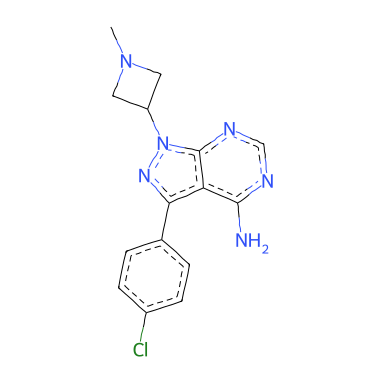 CN1CC(n2nc(-c3ccc(Cl)cc3)c3c(N)ncnc32)C1